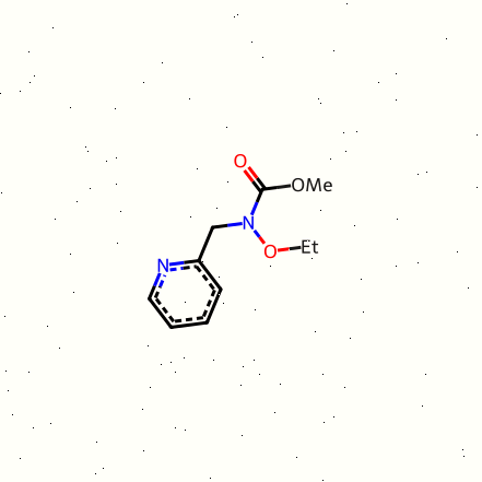 CCON(Cc1ccccn1)C(=O)OC